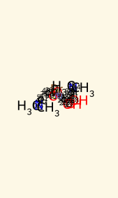 CN(C)c1ccc(Cc2ccc(C(Br)S(=O)(=O)/C=C/c3ccc(O)c(C(C(=O)O)c4ccc(N(C)C)cc4)c3)cc2)cc1